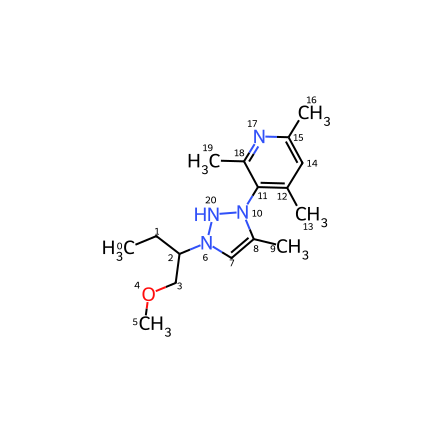 CCC(COC)N1C=C(C)N(c2c(C)cc(C)nc2C)N1